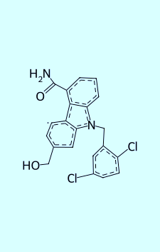 NC(=O)c1cccc2c1c1[c]cc(CO)cc1n2Cc1cc(Cl)ccc1Cl